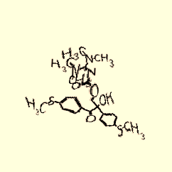 CSc1ccc(C(=O)C(O)(COC(=O)N=C(N(C)C)N(C)C)c2ccc(SC)cc2)cc1